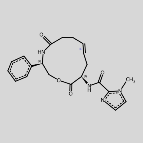 Cn1ccnc1C(=O)N[C@@H]1C/C=C/CCC(=O)N[C@H](c2ccccc2)COC1=O